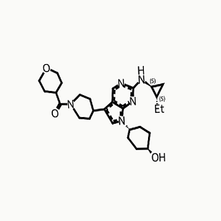 CC[C@H]1C[C@@H]1Nc1ncc2c(C3CCN(C(=O)C4CCOCC4)CC3)cn([C@H]3CC[C@H](O)CC3)c2n1